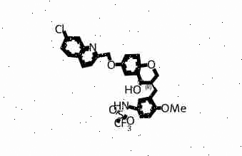 COc1ccc(NS(=O)(=O)C(F)(F)F)cc1C[C@@H]1COc2ccc(OCc3ccc4ccc(Cl)cc4n3)cc2[C@@H]1O